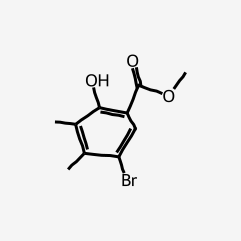 COC(=O)c1cc(Br)c(C)c(C)c1O